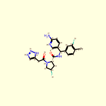 CC(C)c1ccc([C@@H](NC(=O)[C@@H]2C[C@@H](F)CN2C(=O)Cc2cnn[nH]2)c2ccc(N)nc2)cc1F